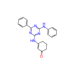 O=C1C=C(Nc2nc(Nc3ccccc3)nc(-c3ccccc3)n2)CCC1